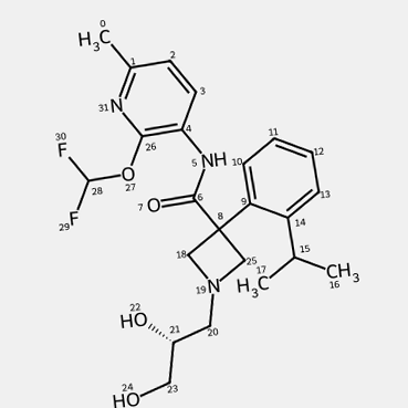 Cc1ccc(NC(=O)C2(c3ccccc3C(C)C)CN(C[C@@H](O)CO)C2)c(OC(F)F)n1